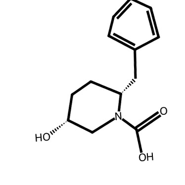 O=C(O)N1C[C@H](O)CC[C@@H]1Cc1ccccc1